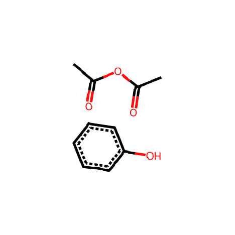 CC(=O)OC(C)=O.Oc1ccccc1